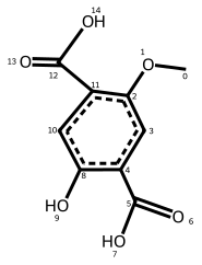 COc1cc(C(=O)O)c(O)cc1C(=O)O